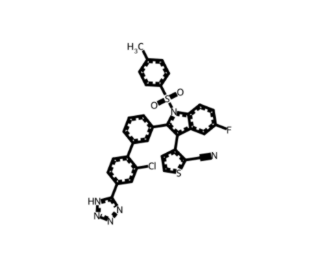 Cc1ccc(S(=O)(=O)n2c(-c3cccc(-c4ccc(-c5nnn[nH]5)cc4Cl)c3)c(-c3ccsc3C#N)c3cc(F)ccc32)cc1